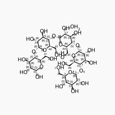 O.OC[C@H]1O[C@H](O[C@H]2[C@H](O)[C@@H](O)[C@@H](O[C@H]3[C@H](O)[C@@H](O)[C@@H](O[C@H]4[C@H](O)[C@@H](O)[C@@H](O[C@H]5[C@H](O)[C@@H](O)[C@@H](O)O[C@@H]5CO)O[C@@H]4CO)O[C@@H]3CO)O[C@@H]2CO)[C@H](O)[C@@H](O)[C@@H]1O